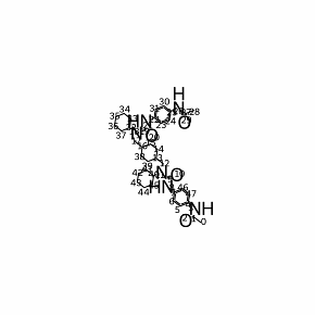 CC(=O)Nc1ccc(NC(=O)N(CC2CCC(CN(C(=O)Nc3ccc(NC(C)=O)cc3)C3CCCCC3)CC2)C2CCCCC2)cc1